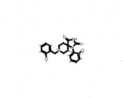 O=C1NC(=O)C2(CCN(Cc3ccccc3Cl)CC2)N1c1ccccc1Cl